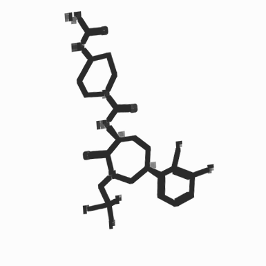 NC(=O)NC1CCN(C(=O)N[C@H]2CC[C@@H](c3cccc(F)c3F)CN(CC(F)(F)F)C2=O)CC1